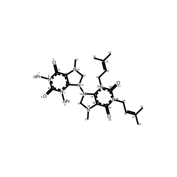 CCCn1c2c(c(=O)n(CCC)c1=O)N(C)CN2N1CN(C)c2c1n(CC=C(C)C)c(=O)n(CC=C(C)C)c2=O